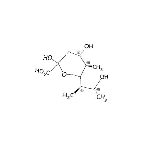 C[C@@H](O)[C@@H](C)C1OC(O)(C(=O)O)C[C@H](O)[C@H]1C